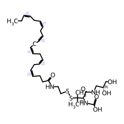 CC/C=C\C/C=C\C/C=C\C/C=C\C/C=C\C/C=C\CCC(=O)NCCSSC(C)(C)[C@H](NC(=O)O)C(=O)NC[C@@H](O)CO